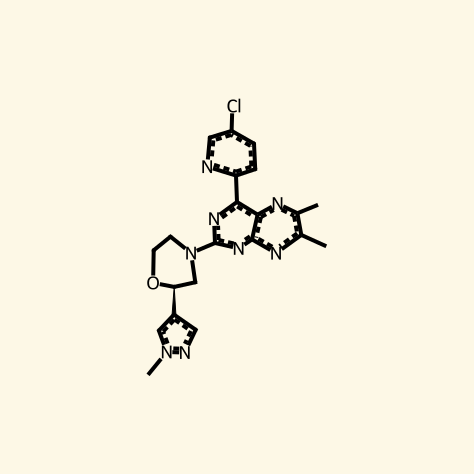 Cc1nc2nc(N3CCO[C@H](c4cnn(C)c4)C3)nc(-c3ccc(Cl)cn3)c2nc1C